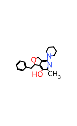 Cc1nc(N2CCCCC2)c2c(c1O)C(Cc1ccccc1)OC2